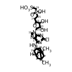 C[C@]12C[C@@H]3C[C@](C)(C1)C[C@@](Nc1nc(Cl)nc4c1ncn4C1OC(CCP(=O)(O)CS(=O)(=O)O)C(O)C1O)(C3)C2